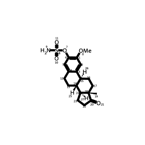 COc1cc2c(cc1OS(N)(=O)=O)CC[C@@H]1[C@@H]2CC[C@]2(C)C(=O)CC[C@@H]12